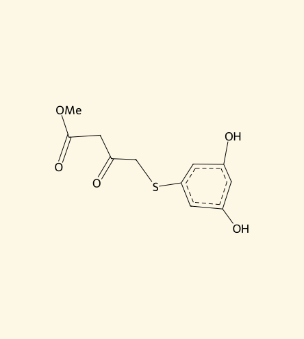 COC(=O)CC(=O)CSc1cc(O)cc(O)c1